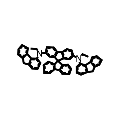 CCN(c1ccc2c(c1)C1(c3ccccc3-c3ccccc31)c1cc(N(CC)c3cccc4c3-c3ccccc3C4)ccc1-2)c1cccc2c1-c1ccccc1C2